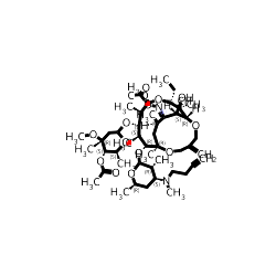 C#CCCN(C)[C@H]1C[C@@H](C)OC(O[C@@H]2[C@@H](C)[C@H](OC3C[C@@](C)(OC)[C@@H](OC(C)=O)[C@H](C)O3)[C@@H](C)C(=O)O[C@H](CC)[C@@](C)(O)[C@@H]3OCC(=C)CO[C@]2(C)C[C@@H](C)/C(=N\OC(C)=O)[C@@H]3C)[C@@H]1C